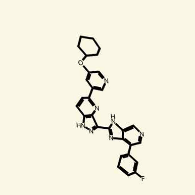 Fc1cccc(-c2cncc3[nH]c(-c4n[nH]c5ccc(-c6cncc(OC7CCCCC7)c6)nc45)nc23)c1